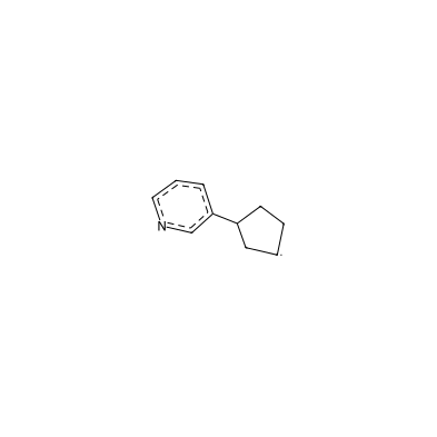 [CH]1CCC(c2cccnc2)C1